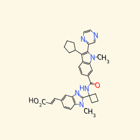 Cn1c(C2(NC(=O)c3ccc4c(C5CCCC5)c(-c5cnccn5)n(C)c4c3)CCC2)nc2cc(/C=C/C(=O)O)ccc21